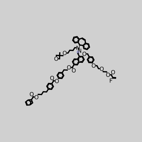 C=C(F)C(=O)OCCOCCOc1ccc(COc2ccc3cc(C(=O)OCCc4ccc(OC(=O)c5ccc(CCCCOC(=O)C6CC7C=CC6C7)cc5)cc4)ccc3c2/C=N/N(CCCCOCC2(C)COC2)C2c3ccccc3C=Cc3ccccc32)cc1